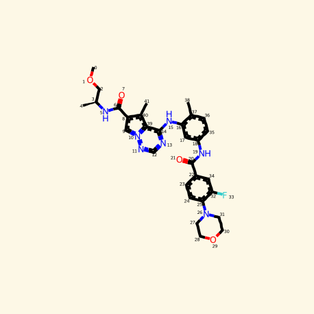 COC[C@H](C)NC(=O)c1cn2ncnc(Nc3cc(NC(=O)c4ccc(N5CCOCC5)c(F)c4)ccc3C)c2c1C